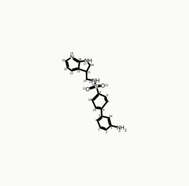 Nc1cccc(-c2ccc(S(=O)(=O)NCC3CNc4ncccc43)cc2)c1